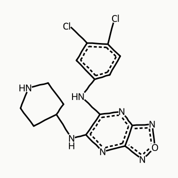 Clc1ccc(Nc2nc3nonc3nc2NC2CCNCC2)cc1Cl